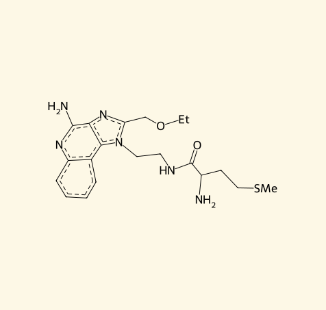 CCOCc1nc2c(N)nc3ccccc3c2n1CCNC(=O)C(N)CCSC